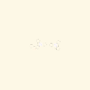 N#Cc1cc(-c2ccc(-n3c4ccccc4c4c5c(ccc43)oc3ccccc35)cc2)ccc1-n1c2ccccc2c2ccccc21